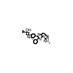 Nc1nnc2ccc3nc(-c4ccc([C@]5(N)C[C@@](O)(C6CC6)C5)cc4)c(-c4ccccc4)nc3n12